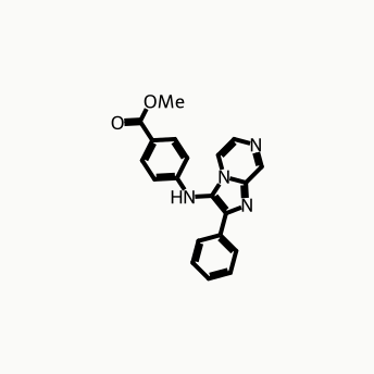 COC(=O)c1ccc(Nc2c(-c3ccccc3)nc3cnccn23)cc1